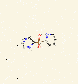 O=S(=O)(c1ccccn1)c1cnccn1